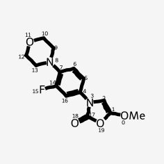 COc1cn(-c2ccc(N3CCOCC3)c(F)c2)c(=O)o1